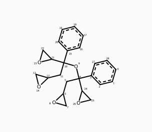 c1ccc(C(CC2CO2)(OC(CC2CO2)(c2ccccc2)C2CO2)C2CO2)cc1